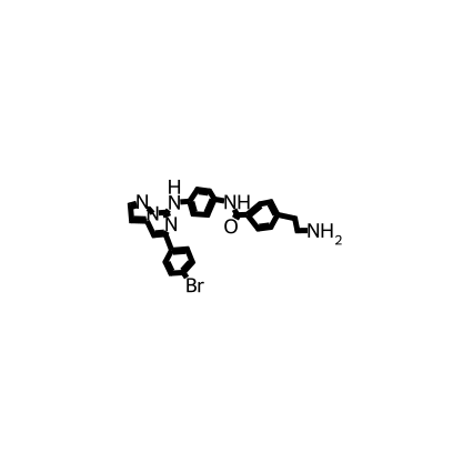 NCCc1ccc(C(=O)Nc2ccc(Nc3nc(-c4ccc(Br)cc4)cc4ccnn34)cc2)cc1